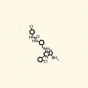 Bc1cnn2c(NCc3cccc(NC(=O)Nc4ccc(Cl)cc4)c3)cc(-c3ccccc3Cl)nc12